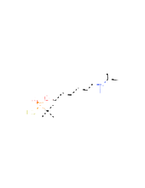 CC(C)NCCCCCCOP(=O)(S)C(C)(C)C